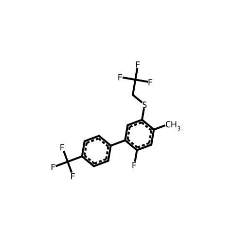 Cc1cc(F)c(-c2ccc(C(F)(F)F)cc2)cc1SCC(F)(F)F